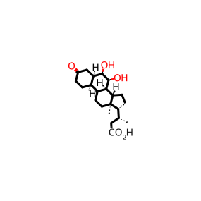 C[C@H](CC(=O)O)[C@H]1CC[C@H]2[C@@H]3[C@H](O)[C@H](O)[C@@H]4CC(=O)CC[C@]4(C)[C@H]3CC[C@]12C